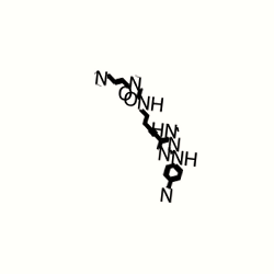 CNc1nc(Nc2ccc(C#N)cc2)ncc1C#CCCCNC(=O)CN(C)C(=O)/C=C/CN(C)C